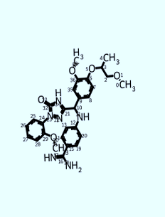 COCC(C)Oc1ccc(C(Nc2ccc(C(=N)N)cc2)c2nn(-c3ccccc3OC)c(=O)[nH]2)cc1OC